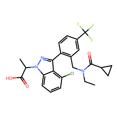 CCN(Cc1cc(C(F)(F)F)ccc1-c1nn(C(C)C(=O)O)c2cccc(Cl)c12)C(=O)C1CC1